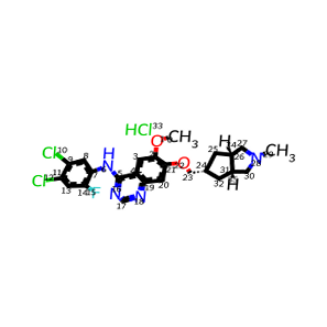 COc1cc2c(Nc3cc(Cl)c(Cl)cc3F)ncnc2cc1OC[C@@H]1C[C@@H]2CN(C)C[C@@H]2C1.Cl